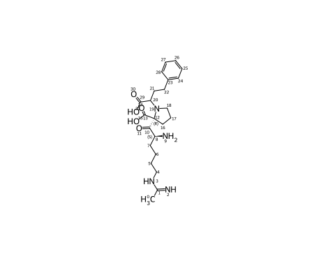 CC(=N)NCCCC[C@H](N)C(=O)[C@@]1(C(=O)O)CCCN1C(CCc1ccccc1)C(=O)O